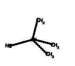 C#CC#CC#CC#CC#CC#CC#CC#CC#C[N+](CCCCCCCCCCCCCCCCCC)(CCCCCCCCCCCCCCCCCC)CCCCCCCCCCCCCCCCCC